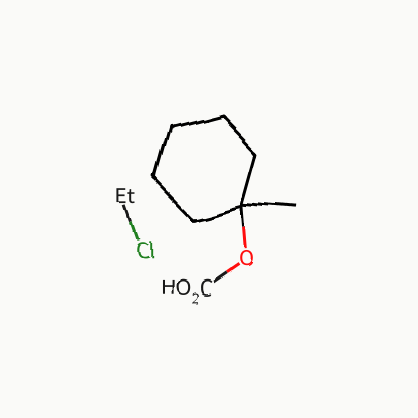 CC1(OC(=O)O)CCCCC1.CCCl